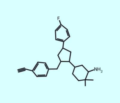 C#Cc1ccc(CC2CC(c3ccc(F)cc3)CC2C2CCC(C)(C)C(N)C2)cc1